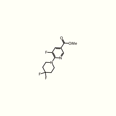 COC(=O)c1cnc(N2CCC(F)(F)CC2)c(F)c1